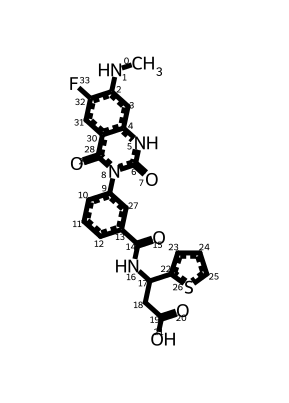 CNc1cc2[nH]c(=O)n(-c3cccc(C(=O)NC(CC(=O)O)c4cccs4)c3)c(=O)c2cc1F